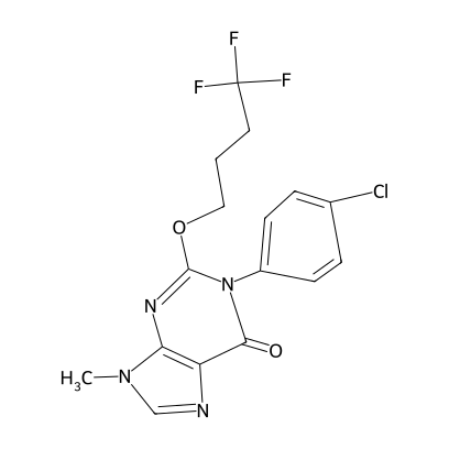 Cn1cnc2c(=O)n(-c3ccc(Cl)cc3)c(OCCCC(F)(F)F)nc21